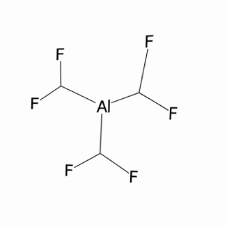 F[CH](F)[Al]([CH](F)F)[CH](F)F